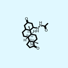 CC(=O)NNC1CC(=O)CC2CC[C@@H]3[C@H](CC[C@]4(C)C(=O)CC[C@@H]34)[C@]21C